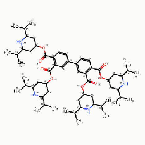 CC(C)C1CC(OC(=O)c2ccc(-c3ccc(C(=O)OC4CC(C(C)C)NC(C(C)C)C4)c(C(=O)OC4CC(C(C)C)NC(C(C)C)C4)c3)cc2C(=O)OC2CC(C(C)C)NC(C(C)C)C2)CC(C(C)C)N1